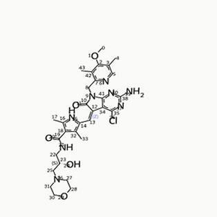 COc1c(C)cnc(CN2C(=O)/C(=C\c3[nH]c(C)c(C(=O)NC[C@H](O)CN4CCOCC4)c3C)c3c(Cl)nc(N)nc32)c1C